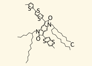 CCCCCCCCCCC(CCCCC)CN1C(=O)C(c2cc3sc(C)cc3s2)=c2cc3c(cc21)=C(c1cc2sc(-c4ccc(C)s4)cc2s1)C(=O)N3CC(CCCCCCCCC)CCCCCCCCCC